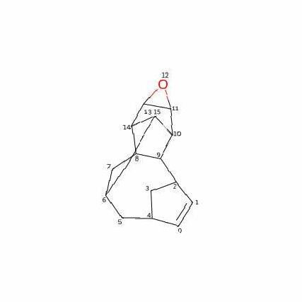 C1=CC2CC1CC1CC3C2C2C4OC4C3C12